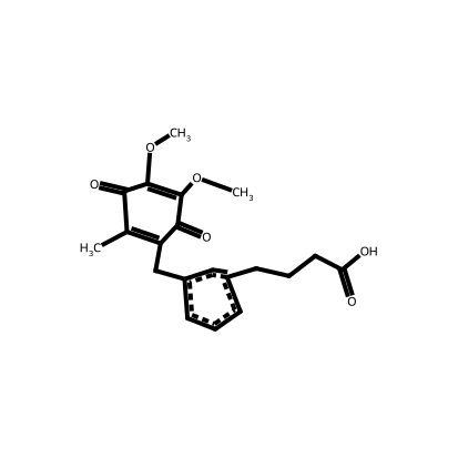 COC1=C(OC)C(=O)C(Cc2cccc(CCCC(=O)O)c2)=C(C)C1=O